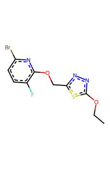 CCOc1nnc(COc2nc(Br)ccc2F)s1